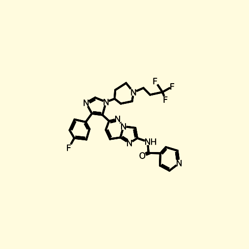 O=C(Nc1cn2nc(-c3c(-c4ccc(F)cc4)ncn3C3CCN(CCC(F)(F)F)CC3)ccc2n1)c1ccncc1